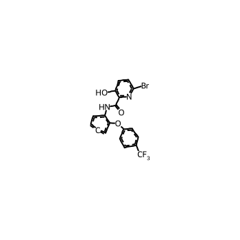 O=C(Nc1ccccc1Oc1ccc(C(F)(F)F)cc1)c1nc(Br)ccc1O